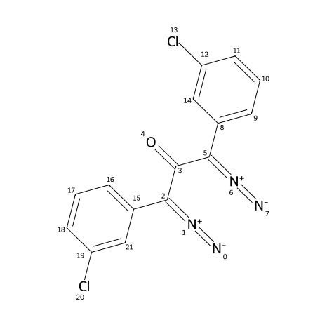 [N-]=[N+]=C(C(=O)C(=[N+]=[N-])c1cccc(Cl)c1)c1cccc(Cl)c1